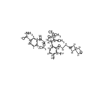 Cc1cnc(C(N)=O)cc1NC(=O)[C@@H]1O[C@@](C)(C(F)(F)F)[C@@H](C)[C@H]1c1ccc(F)c(F)c1OCCN1CC2(COC2)C1